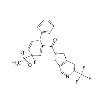 CS(=O)(=O)C1(F)C=CC(c2ccccc2)C(C(=O)N2Cc3cnc(C(F)(F)F)cc3C2)=C1